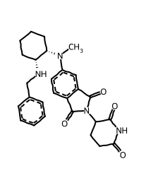 CN(c1ccc2c(c1)C(=O)N(C1CCC(=O)NC1=O)C2=O)[C@H]1CCCC[C@H]1NCc1ccccc1